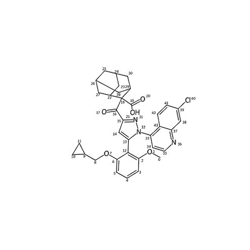 COc1cccc(OCC2CC2)c1-c1cc(C(=O)C2(C(=O)O)C3CC4CC(C3)CC2C4)nn1-c1ccnc2cc(Cl)ccc12